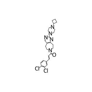 O=C(/C=C/c1ccc(Cl)c(Cl)c1)N1CCc2cnc(N3CCN(C4CCC4)CC3)nc2CC1